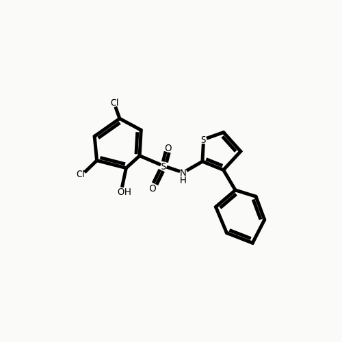 O=S(=O)(Nc1sccc1-c1ccccc1)c1cc(Cl)cc(Cl)c1O